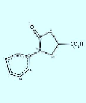 O=C(O)C1CC(=O)N(c2[c]cccc2)C1